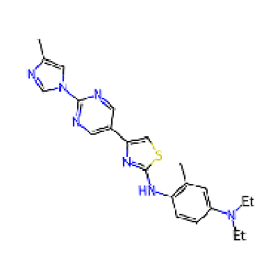 CCN(CC)c1ccc(Nc2nc(-c3cnc(-n4cnc(C)c4)nc3)cs2)c(C)c1